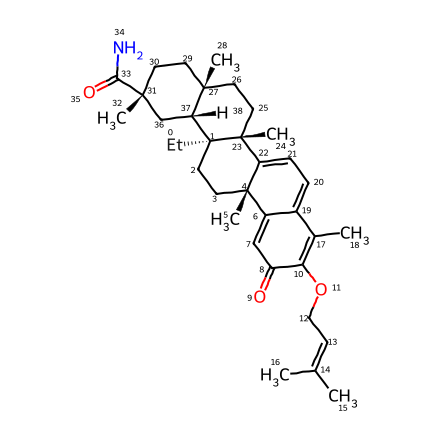 CC[C@@]12CC[C@@]3(C)C4=CC(=O)C(OCC=C(C)C)=C(C)C4=CC=C3[C@@]1(C)CC[C@@]1(C)CC[C@@](C)(C(N)=O)C[C@H]12